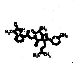 CC(C)=CCn1c(N2CCCC(N)C2)nc2c1c(=O)n(CC(=O)c1cccc3c1[nH]c(=O)n3C)c(=O)n2C